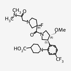 COC[C@H]1CN(C(=O)[C@@]2(F)CCN(CC(=O)N(C)C)C2)C[C@@H]1c1ccc(C(F)(F)F)cc1N1CCC(C(=O)O)CC1